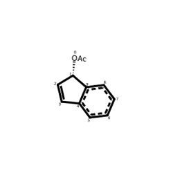 CC(=O)O[C@H]1C=Cc2ccccc21